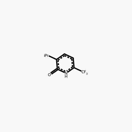 CC(C)c1ccc(C(F)(F)F)[nH]c1=O